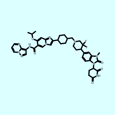 CC(C)Oc1cc2nc(C3CCC(CN4CCC(c5ccc6c(c5)n(C)c(=O)n6C5CCC(=O)NC5=O)C(F)(F)C4)CC3)cn2cc1C(=O)Nc1cnn2cccnc12